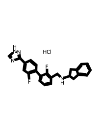 Cl.Fc1cc(-c2nc[nH]n2)ccc1-c1cccc(CNC2Cc3ccccc3C2)c1F